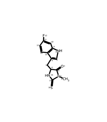 CN1C(=O)C(Cc2c[nH]c3cc(F)ccc23)NC1=S